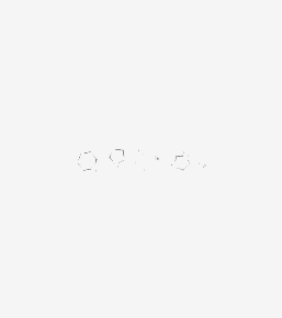 C[C@]1(CN2Cc3nc(-c4ccc(F)cn4)sc3C2)Cn2cc([N+](=O)[O-])nc2O1